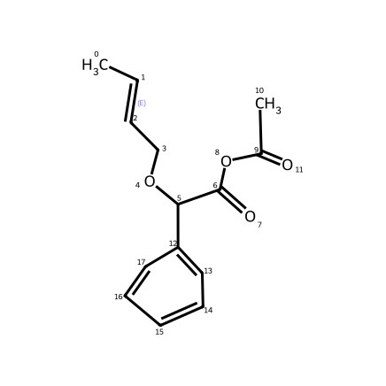 C/C=C/COC(C(=O)OC(C)=O)c1ccccc1